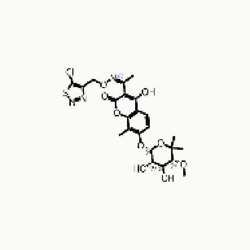 CO[C@@H]1[C@@H](O)[C@@H](O)[C@H](Oc2ccc3c(O)c(/C(C)=N\OCc4nnsc4Cl)c(=O)oc3c2C)OC1(C)C